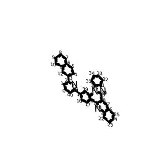 c1cc(-c2ccc3ccccc3c2)nc(-c2ccc3c4nc5ccccc5cc4c4nc5ccccc5n4c3c2)c1